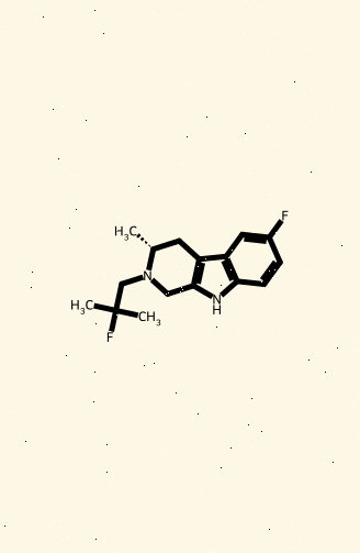 C[C@@H]1Cc2c([nH]c3ccc(F)cc23)CN1CC(C)(C)F